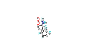 O=C1Oc2ccc(-c3c(F)c(F)cc(F)c3F)c(F)c2N(F)C1F